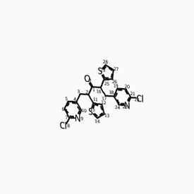 O=C(C(Cc1ccc(Cl)nc1)c1cccs1)C(Cc1ccc(Cl)nc1)c1cccs1